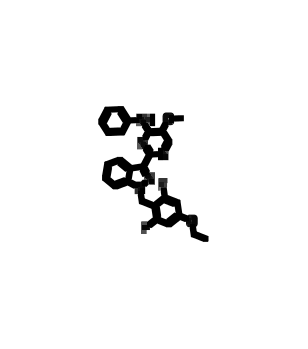 CCOc1cc(F)c(Cn2nc(-c3ncc(OC)c(Nc4ccccc4)n3)c3ccccc32)c(F)c1